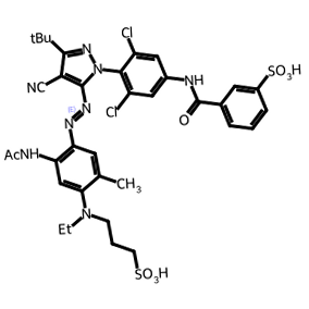 CCN(CCCS(=O)(=O)O)c1cc(NC(C)=O)c(/N=N/c2c(C#N)c(C(C)(C)C)nn2-c2c(Cl)cc(NC(=O)c3cccc(S(=O)(=O)O)c3)cc2Cl)cc1C